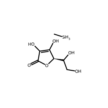 C[SiH3].O=C1O[C@H](C(O)CO)C(O)=C1O